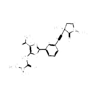 CN(C)C(=O)Nc1sc(-c2cccc(C#C[C@]3(O)CCN(C)C3=O)c2)nc1C(N)=O